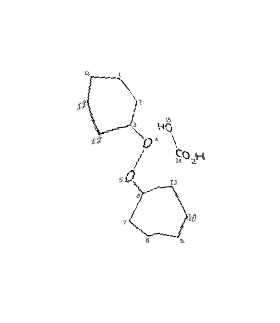 C1CCC(OOC2CCCCC2)CC1.O=C(O)O